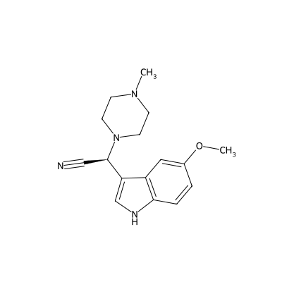 COc1ccc2[nH]cc([C@@H](C#N)N3CCN(C)CC3)c2c1